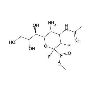 COC(=O)C1(F)OC([C@H](O)[C@H](O)CO)C(N)C(NC(C)=N)C1F